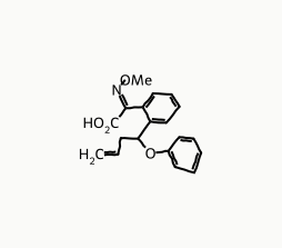 C=CCC(Oc1ccccc1)c1ccccc1/C(=N\OC)C(=O)O